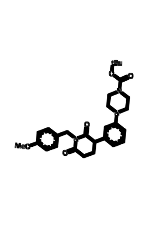 COc1ccc(CN2C(=O)CCC(c3cccc(N4CCN(C(=O)OC(C)(C)C)CC4)c3)C2=O)cc1